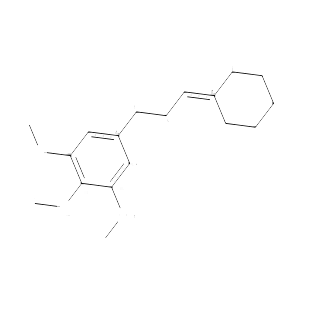 COc1cc(CCC=C2CCCCC2)cc(OC)c1OC